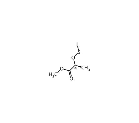 COC(=O)[C@H](C)OSI